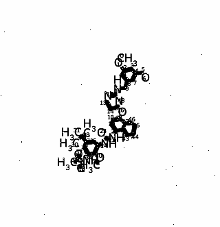 COc1cc(C=O)cc(CNc2nccc(Oc3ccc(NC(=O)Nc4cc(C(C)(C)C)cc(NS(C)(=O)=O)c4OC)c4ccccc34)n2)c1